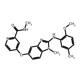 CNC(=O)c1cc(Oc2ccc3c(c2)nc(Nc2cc(C)ccc2OC)n3C)ccn1